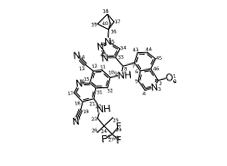 COc1nccc2c(C(Nc3cc(C#N)c4ncc(C#N)c(NCC(C)(C)C(F)(F)F)c4c3)c3cn(C45CC(C4)C5)nn3)cccc12